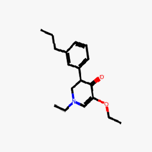 CCCc1cccc(C2CN(CC)C=C(OCC)C2=O)c1